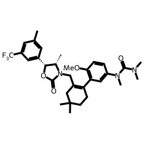 COc1ccc(N(C)C(=O)N(C)C)cc1C1=C(CN2C(=O)O[C@H](c3cc(C)cc(C(F)(F)F)c3)[C@@H]2C)CC(C)(C)CC1